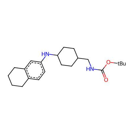 CC(C)(C)OC(=O)NCC1CCC(Nc2ccc3c(c2)CCCC3)CC1